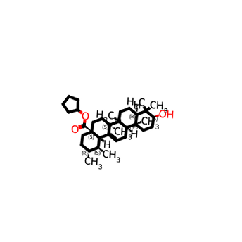 C[C@H]1[C@H](C)CC[C@]2(C(=O)OC3CCCC3)CC[C@]3(C)C(=CC[C@@H]4[C@@]5(C)CC[C@H](O)C(C)(C)[C@@H]5CC[C@]43C)[C@H]12